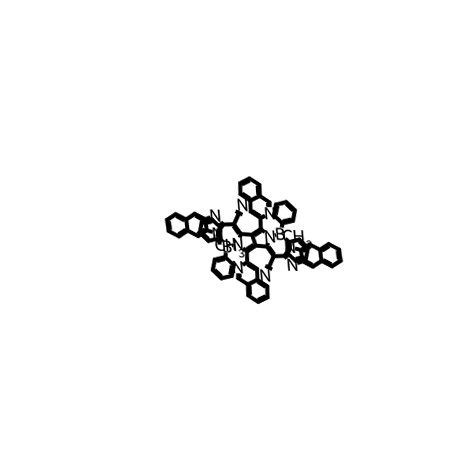 Cn1c(/C(C#N)=c2/c3c(-c4cc5ccccc5cn4)n(B(c4ccccc4)c4ccccc4)/c(=C(/C#N)c4nc5cc6ccccc6cc5n4C)c3c(-c3cc4ccccc4cn3)n2B(c2ccccc2)c2ccccc2)nc2cc3ccccc3cc21